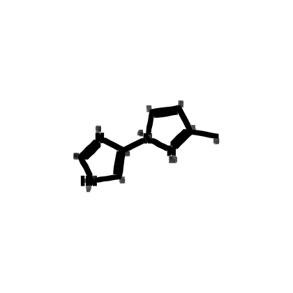 Cc1ccn(-c2c[nH]cn2)n1